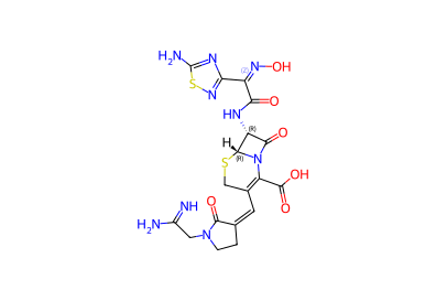 N=C(N)CN1CCC(=CC2=C(C(=O)O)N3C(=O)[C@@H](NC(=O)/C(=N\O)c4nsc(N)n4)[C@H]3SC2)C1=O